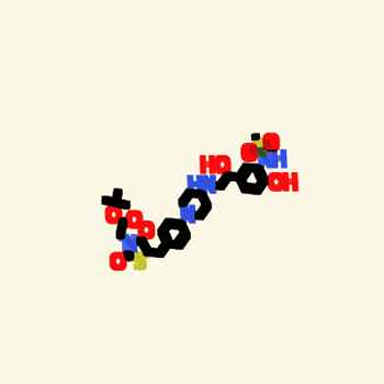 CC(C)(C)OC(=O)CN1C(=O)SC(Cc2ccc(N3CCC(NCC(O)c4ccc(O)c(NS(C)(=O)=O)c4)CC3)cc2)C1=O